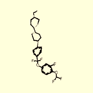 CC[C@H]1CC[C@H]([C@H]2CC[C@H](c3ccc(C(F)(F)Oc4ccc(OC(F)F)c(F)c4)cc3)CC2)CC1